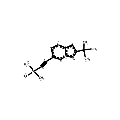 CC(C)(C)c1cc2ncc(C#C[Si](C)(C)C)cn2n1